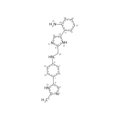 Cc1ncc(-c2ccc(NCc3ncc(-c4ccccc4N)[nH]3)cc2)[nH]1